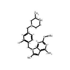 CCCCOc1nc(N)c2cc(C#N)n(Cc3ccc(CN4CCNC(C)C4)cc3F)c2n1